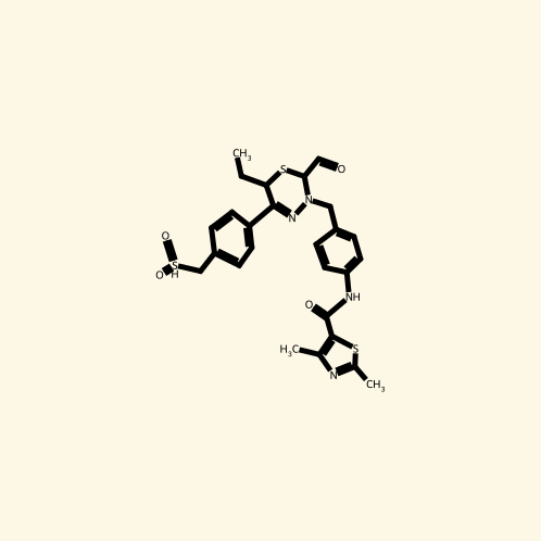 CCC1SC(C=O)N(Cc2ccc(NC(=O)c3sc(C)nc3C)cc2)N=C1c1ccc(C[SH](=O)=O)cc1